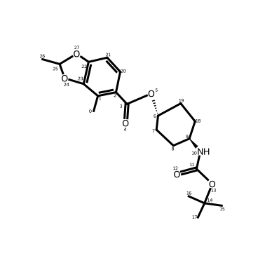 Cc1c(C(=O)O[C@H]2CC[C@H](NC(=O)OC(C)(C)C)CC2)ccc2c1OC(C)O2